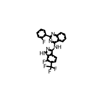 Fc1ccccc1-c1nc(Nc2n[nH]c3c(F)c(C(F)(F)F)ccc23)c2ccccc2n1